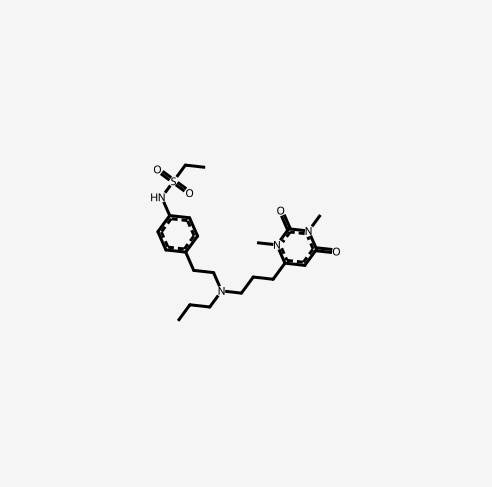 CCCN(CCCc1cc(=O)n(C)c(=O)n1C)CCc1ccc(NS(=O)(=O)CC)cc1